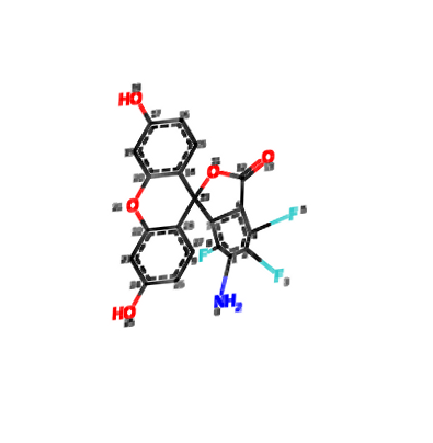 Nc1c(F)c(F)c2c(c1F)C1(OC2=O)c2ccc(O)cc2Oc2cc(O)ccc21